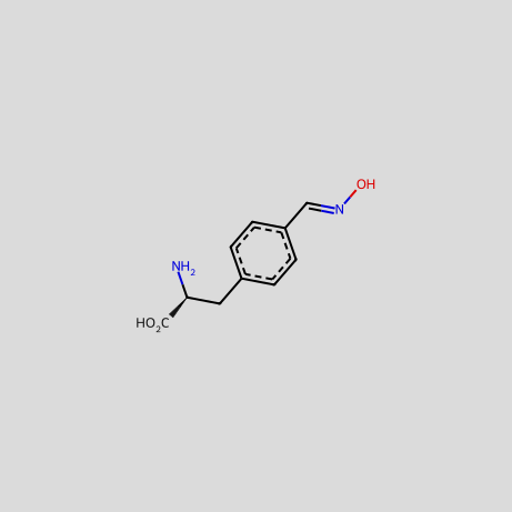 N[C@@H](Cc1ccc(/C=N/O)cc1)C(=O)O